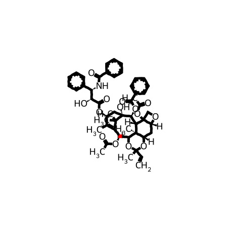 C=CC1(C)O[C@H]2C[C@H]3OCC3(OC(C)=O)[C@H]3[C@H](OC(=O)c4ccccc4)[C@]4(O)C[C@H](OC(=O)[C@H](O)[C@@H](NC(=O)c5ccccc5)c5ccccc5)C(C)=C([C@H](OC(C)=O)[C@H](O1)[C@]23C)C4(C)C